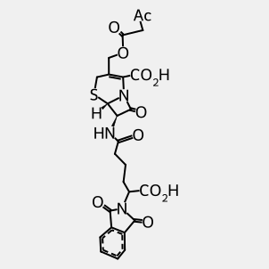 CC(=O)CC(=O)OCC1=C(C(=O)O)N2C(=O)[C@@H](NC(=O)CCCC(C(=O)O)N3C(=O)c4ccccc4C3=O)[C@@H]2SC1